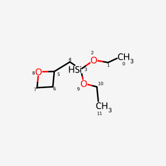 CCO[SiH](CC1CCO1)OCC